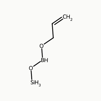 C=CCOBO[SiH3]